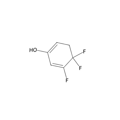 OC1=CCC(F)(F)C(F)=C1